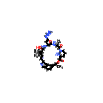 C[C@@H]1NC(=O)[C@H](CCN=[N+]=[N-])NC(O)C(C)(C)/C=C/c2cc3cc(ccc3cn2)[C@@H](C)OC(=O)[C@@H]2CCCN(N2)C1=O